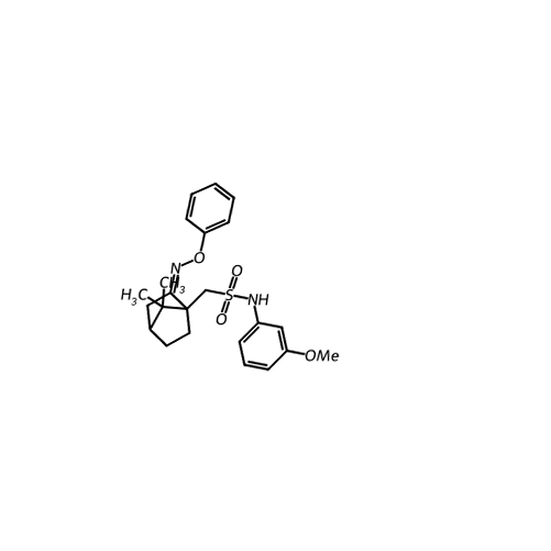 COc1cccc(NS(=O)(=O)CC23CCC(CC2=NOc2ccccc2)C3(C)C)c1